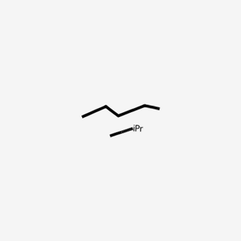 CC(C)C.CCCCC